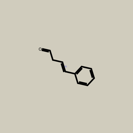 O=CC/C=C/c1ccccc1